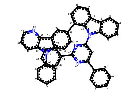 c1ccc(-c2cc(-n3c4ccccc4c4cccc(-c5ccc6c(c5)c5ncccc5n6-c5ccccc5)c43)nc(-c3ccccc3)n2)cc1